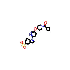 CS(=O)(=O)c1ccc2c(ccn2-c2ccc(OC3CCN(C(=O)C4CCC4)CC3)cn2)c1